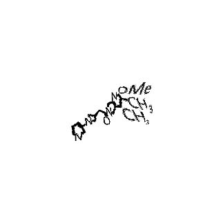 COc1nc2c(c(C)c1C)CN(C(=O)CC1CN(c3cccnc3)C1)C2